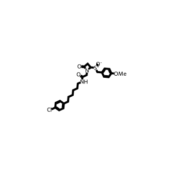 COc1ccc(C[S+]([O-])C2CC(=O)N2CC(=O)NCCCCCCc2ccc(Cl)cc2)cc1